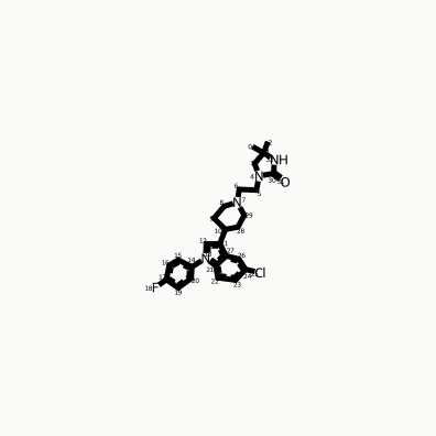 CC1(C)CN(CCN2CCC(c3cn(-c4ccc(F)cc4)c4ccc(Cl)cc34)CC2)C(=O)N1